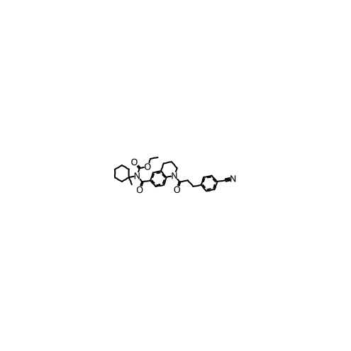 CCOC(=O)N(C(=O)c1ccc2c(c1)CCCN2C(=O)CCc1ccc(C#N)cc1)C1(C)CCCCC1